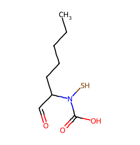 CCCCCC(C=O)N(S)C(=O)O